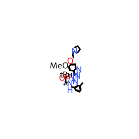 COc1cc2c(N=C(Nc3c(C)cccc3C)N[C@@H](C)C(=O)OC(C)(C)C)ncnc2cc1OCCN1CCCC1